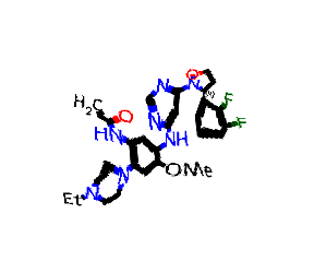 C=CC(=O)Nc1cc(Nc2cc(N3OCC[C@@H]3c3cccc(F)c3F)ncn2)c(OC)cc1N1CCN(CC)CC1